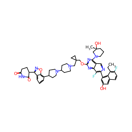 CCc1c(F)ccc2cc(O)cc(-c3ncc4c(N5CCC[C@@](C)(O)C5)nc(OCC5(CN6CCC(N7CCC(c8cccc9c(C%10CCC(=O)NC%10=O)noc89)CC7)CC6)CC5)nc4c3F)c12